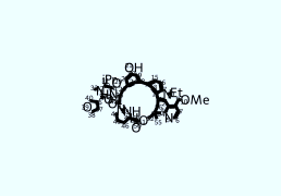 CCn1c(-c2cnccc2COC)c2c3cc(ccc31)-c1cc(O)cc(c1)C[C@H](NC(=O)[C@H](C(C)C)N(C)C(=O)[C@@H]1CCOC1)C(=O)N1CCC[C@H](N1)C(=O)OCC(C)(C)C2